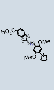 COc1cc(N2CCCC2)c(OC)cc1/N=N/c1nc2ccc(C(=O)O)cc2s1